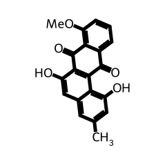 COc1cccc2c1C(=O)c1c(O)cc3cc(C)cc(O)c3c1C2=O